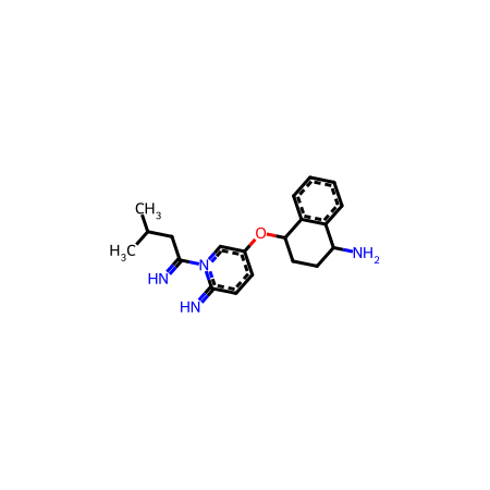 CC(C)CC(=N)n1cc(OC2CCC(N)c3ccccc32)ccc1=N